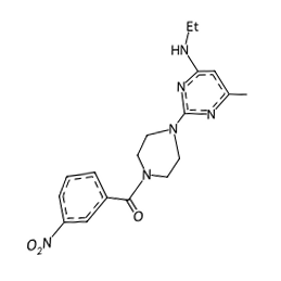 CCNc1cc(C)nc(N2CCN(C(=O)c3cccc([N+](=O)[O-])c3)CC2)n1